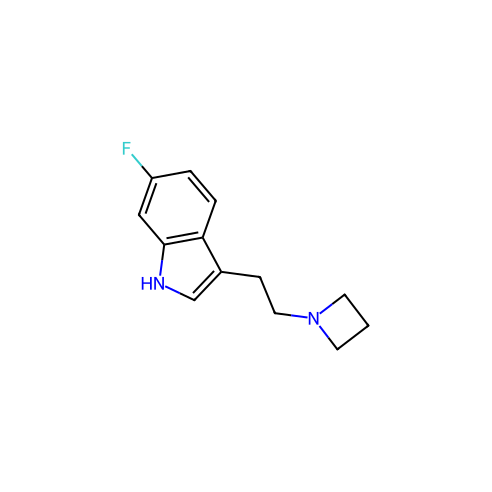 Fc1ccc2c(CCN3CCC3)c[nH]c2c1